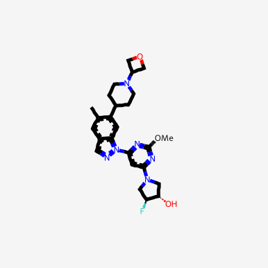 COc1nc(N2C[C@H](O)[C@@H](F)C2)cc(-n2ncc3cc(C)c(C4CCN(C5COC5)CC4)cc32)n1